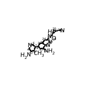 Cc1c(N)cncc1-c1cc(N)c2nnc(NC(=O)C3CC3C#N)cc2c1